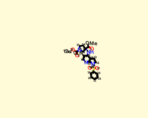 COC(=O)C1(Nc2c([N+](=O)[O-])cnc3c2ccn3S(=O)(=O)c2ccccc2)CCN(C(=O)OC(C)(C)C)C1